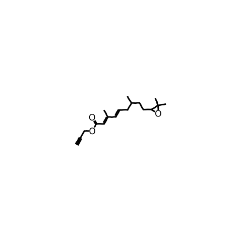 C#CCOC(=O)/C=C(C)/C=C/CC(C)CCC1OC1(C)C